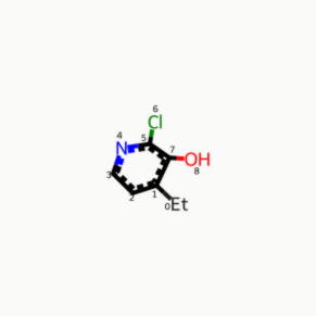 CCc1ccnc(Cl)c1O